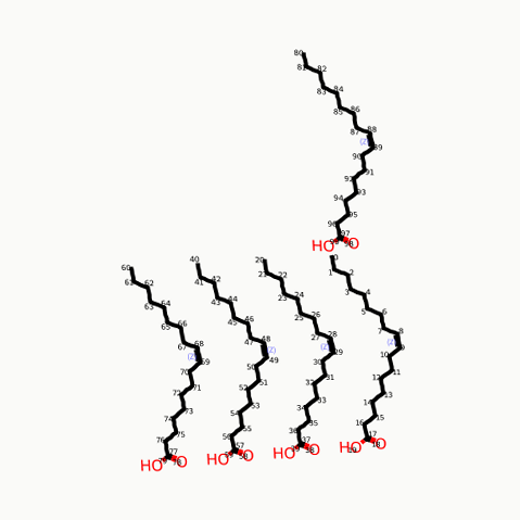 CCCCCCCC/C=C\CCCCCCCC(=O)O.CCCCCCCC/C=C\CCCCCCCC(=O)O.CCCCCCCC/C=C\CCCCCCCC(=O)O.CCCCCCCC/C=C\CCCCCCCC(=O)O.CCCCCCCC/C=C\CCCCCCCC(=O)O